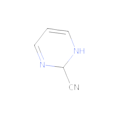 N#CC1N=CC=CN1